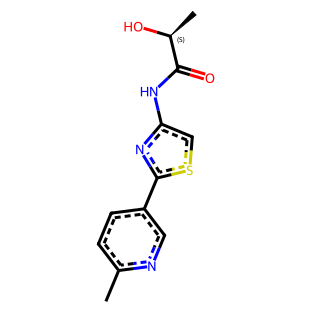 Cc1ccc(-c2nc(NC(=O)[C@H](C)O)cs2)cn1